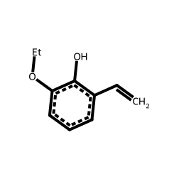 C=Cc1cccc(OCC)c1O